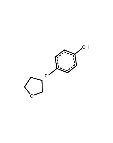 C1CCOC1.Oc1ccc(Cl)cc1